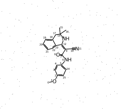 COc1ccc(NC(=O)/C(C#N)=C2/NC(C)(C)Cc3ccccc32)cc1